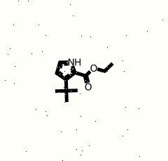 CCOC(=O)c1[nH]ccc1C(C)(C)C